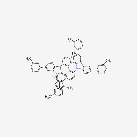 Cc1cccc(-c2ccc3c(c2)-c2cc(-c4cccc(C)c4)ccc2C3c2ccc(C#N)cc2-c2cc(-c3c(C(F)(F)F)cccc3C(F)(F)F)ccc2-n2c3ccc(-c4cccc(C)c4)cc3c3cc(-c4cccc(C)c4)ccc32)c1